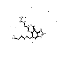 CC(C)CCCCCc1cc2c(c(=CN)c1CCCCCC(C)C)=NN=N2